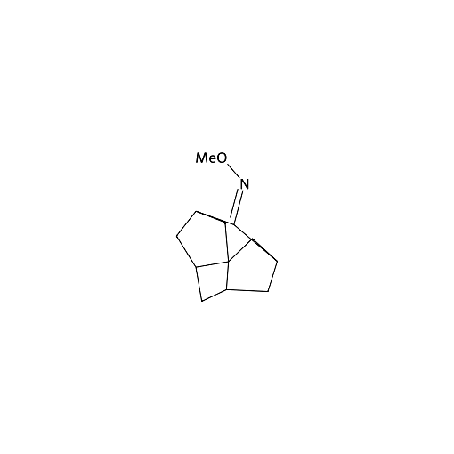 CON=C1C2CC3CC4CC1CC34C2